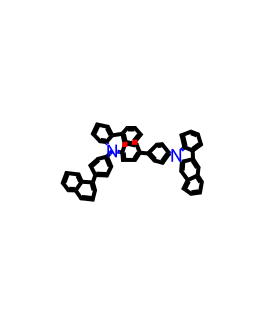 c1ccc(-c2ccccc2N(c2ccc(-c3ccc(-n4c5ccccc5c5cc6ccccc6cc54)cc3)cc2)c2ccc(-c3cccc4ccccc34)cc2)cc1